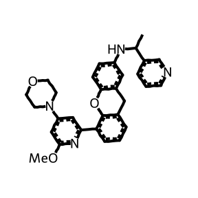 COc1cc(N2CCOCC2)cc(-c2cccc3c2Oc2ccc(NC(C)c4cccnc4)cc2C3)n1